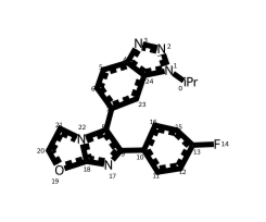 CC(C)n1nnc2ccc(-c3c(-c4ccc(F)cc4)nc4occn34)cc21